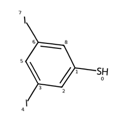 Sc1cc(I)cc(I)c1